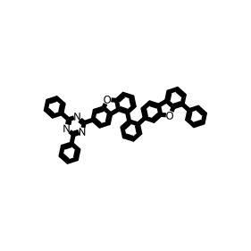 c1ccc(-c2nc(-c3ccccc3)nc(-c3ccc4c(c3)oc3cccc(-c5ccccc5-c5ccc6c(c5)oc5c(-c7ccccc7)cccc56)c34)n2)cc1